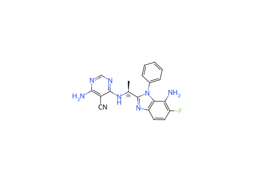 C[C@H](Nc1ncnc(N)c1C#N)c1nc2ccc(F)c(N)c2n1-c1ccccc1